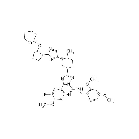 COc1ccc(CNc2nc3cc(OC)c(F)cc3c3nc(C4CCC(C)N(C5=NC(C6CCCC6OC6CCCCO6)N=C5)C4)nn23)c(OC)c1